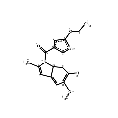 CCOc1cc(C(=O)N2C(C)=[C]C3=CC(OC)=C(Cl)CC32)cs1